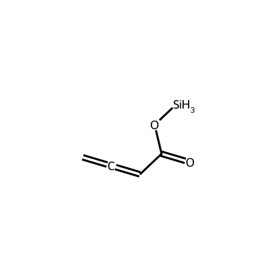 C=C=CC(=O)O[SiH3]